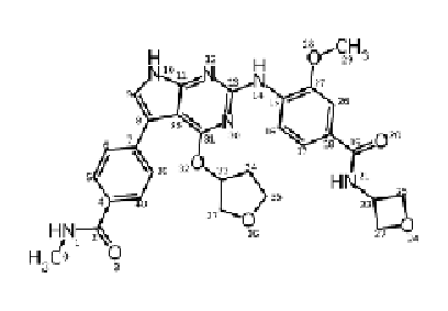 CNC(=O)c1ccc(-c2c[nH]c3nc(Nc4ccc(C(=O)NC5COC5)cc4OC)nc(OC4CCOC4)c23)cc1